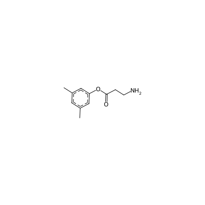 Cc1cc(C)cc(OC(=O)CCN)c1